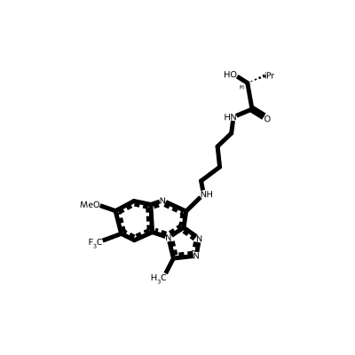 COc1cc2nc(NCCCCNC(=O)[C@H](O)C(C)C)c3nnc(C)n3c2cc1C(F)(F)F